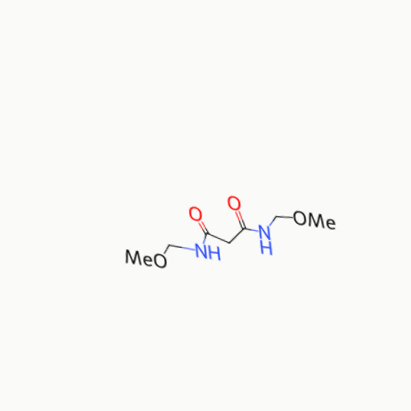 COCNC(=O)CC(=O)NCOC